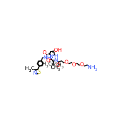 Cc1ncsc1-c1ccc(CNC(=O)[C@@H]2C[C@@H](O)CN2C(=O)[C@@H](NC(=O)CCOCCOCCOCCN)C(C)(C)C)cc1